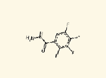 NNC(=O)c1cc(F)c(F)c(F)c1F